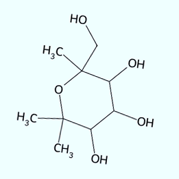 CC1(C)OC(C)(CO)C(O)C(O)C1O